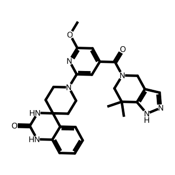 COc1cc(C(=O)N2Cc3cn[nH]c3C(C)(C)C2)cc(N2CCC3(CC2)NC(=O)Nc2ccccc23)n1